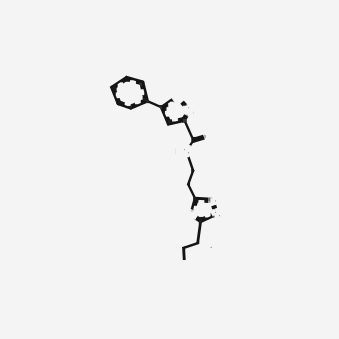 CC[C@@H](O)c1nnc(CCNC(=O)c2cc(-c3ccccc3)on2)o1